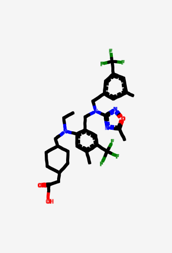 CCN(CC1CCC(CC(=O)O)CC1)c1cc(C)c(C(F)(F)F)cc1CN(Cc1cc(C)cc(C(F)(F)F)c1)c1noc(C)n1